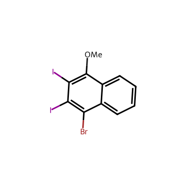 COc1c(I)c(I)c(Br)c2ccccc12